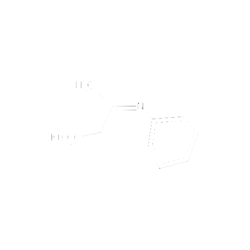 CCOC(=O)C/C(C)=N\c1ccccc1